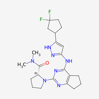 CN(C)C(=O)[C@H]1CCCN1c1nc2c(c(Nc3cc(C4CCC(F)(F)C4)[nH]n3)n1)CCC2